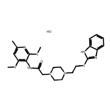 CSc1cc(C)nc(SC)c1NC(=O)CN1CCN(CCSc2nc3ccccc3[nH]2)CC1.Cl